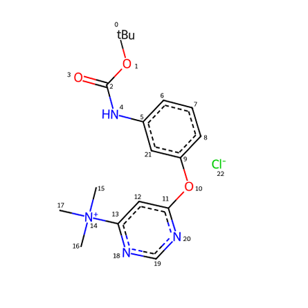 CC(C)(C)OC(=O)Nc1cccc(Oc2cc([N+](C)(C)C)ncn2)c1.[Cl-]